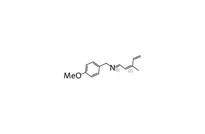 C=C/C(C)=C\C=N\Cc1ccc(OC)cc1